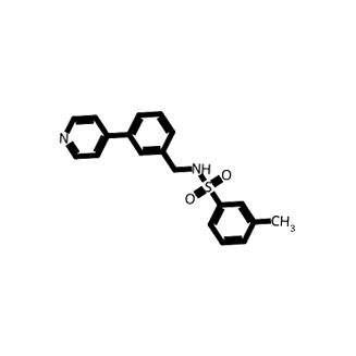 Cc1cccc(S(=O)(=O)NCc2cccc(-c3ccncc3)c2)c1